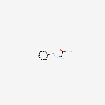 CC[C@H](NCc1ccccc1)C(=O)OC